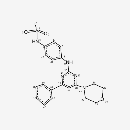 CS(=O)(=O)Nc1ccc(Nc2nc(-c3ccccc3)cc(N3CCOCC3)n2)cc1